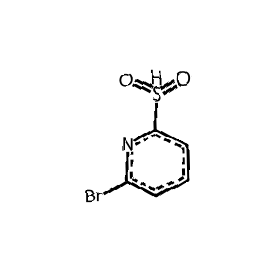 O=[SH](=O)c1cccc(Br)n1